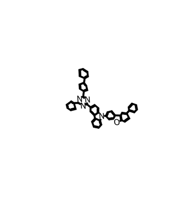 c1ccc(-c2ccc(-c3nc(-c4ccccc4)nc(-c4ccc5c(c4)c4ccccc4n5-c4ccc5c(c4)oc4ccc(-c6ccccc6)cc45)n3)cc2)cc1